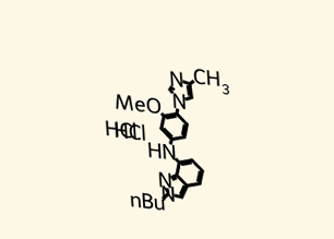 CCCCn1cc2cccc(Nc3ccc(-n4cnc(C)c4)c(OC)c3)c2n1.Cl.Cl